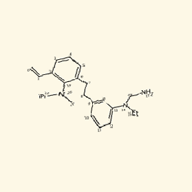 C=Cc1cccc(CCc2cccc(N(CC)CN)c2)c1N(C)C(C)C